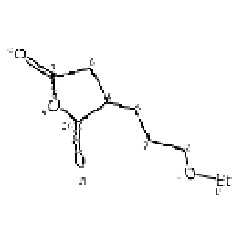 CCOCCCC1CC(=O)OC1=O